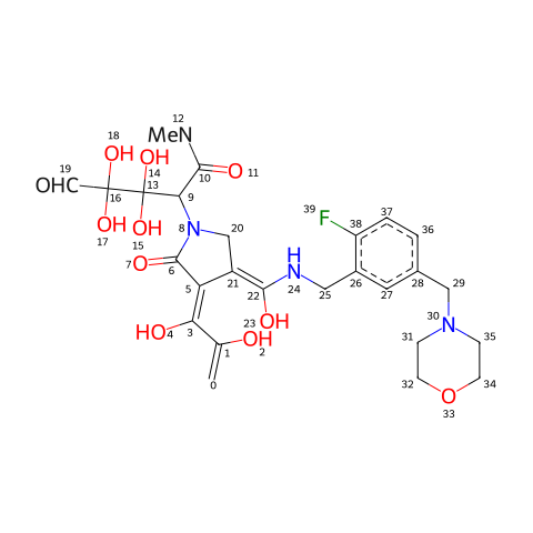 C=C(O)/C(O)=C1/C(=O)N(C(C(=O)NC)C(O)(O)C(O)(O)C=O)C/C1=C(/O)NCc1cc(CN2CCOCC2)ccc1F